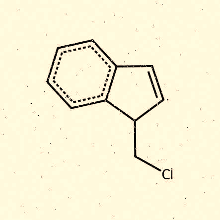 ClCC1[C]=Cc2ccccc21